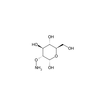 NO[C@@H]1[C@@H](O)[C@H](O)[C@@H](CO)O[C@@H]1O